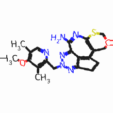 COc1c(C)cnc(CN2N=C3CCC4=C3C(=N2)C(N)=NC2=C4COCS2)c1C